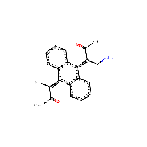 COC(=O)C(C#N)=c1c2ccccc2c(=C(CN)C(=O)OC)c2ccccc12